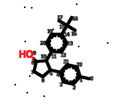 Cc1ccc(C2CCC(O)C2c2ccc(C(C)(C)C)cc2)cc1